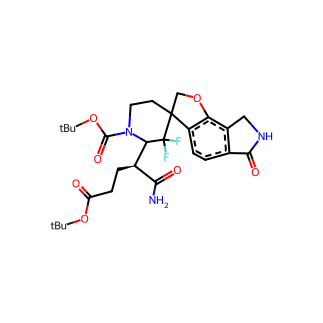 CC(C)(C)OC(=O)CC[C@H](C(N)=O)C1N(C(=O)OC(C)(C)C)CCC2(COc3c2ccc2c3CNC2=O)C1(F)F